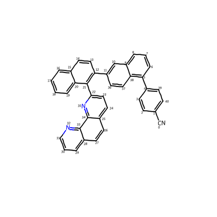 N#Cc1ccc(-c2cccc3cc(-c4ccc5ccccc5c4-c4ccc5ccc6cccnc6c5n4)ccc23)cc1